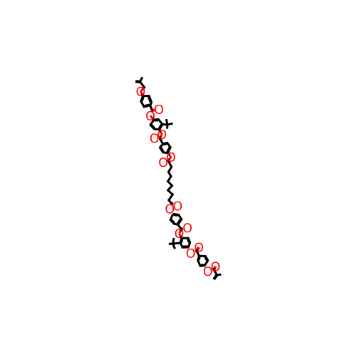 C=C(C)COc1ccc(C(=O)Oc2ccc(OC(=O)c3ccc(OC(=O)CCCCCCCCC(=O)Oc4ccc(C(=O)Oc5ccc(OC(=O)c6ccc(OC(=O)C(=C)C)cc6)cc5C(C)(C)C)cc4)cc3)c(C(C)(C)C)c2)cc1